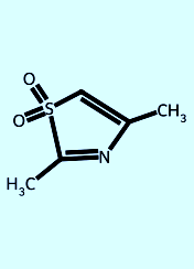 CC1=CS(=O)(=O)C(C)=N1